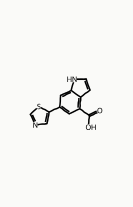 O=C(O)c1cc(-c2cncs2)cc2[nH]ccc12